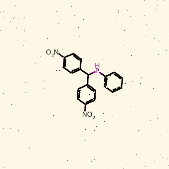 O=[N+]([O-])c1ccc(C(Pc2ccccc2)c2ccc([N+](=O)[O-])cc2)cc1